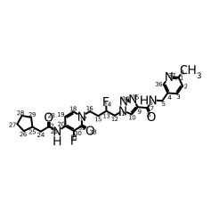 Cc1ccc(CNC(=O)c2cn(CC(F)CCn3ccc(NC(=O)CC4CCCC4)c(F)c3=O)nn2)cn1